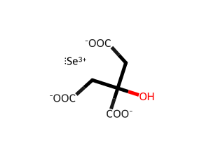 O=C([O-])CC(O)(CC(=O)[O-])C(=O)[O-].[Se+3]